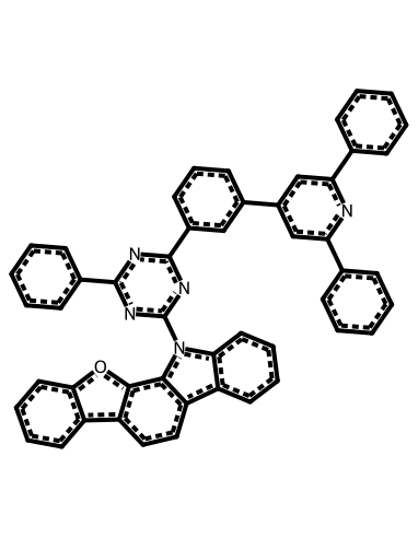 c1ccc(-c2cc(-c3cccc(-c4nc(-c5ccccc5)nc(-n5c6ccccc6c6ccc7c8ccccc8oc7c65)n4)c3)cc(-c3ccccc3)n2)cc1